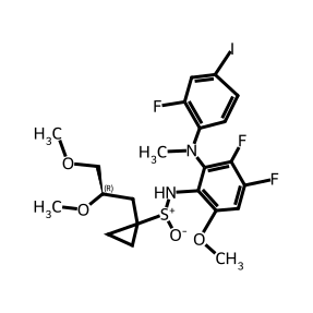 COC[C@@H](CC1([S+]([O-])Nc2c(OC)cc(F)c(F)c2N(C)c2ccc(I)cc2F)CC1)OC